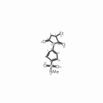 CCC1CC(=O)N(c2ccc(S(=O)(=O)NC)cc2)C1=O